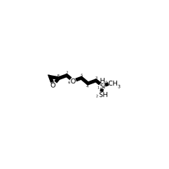 C[SiH](S)CCCOCC1CO1